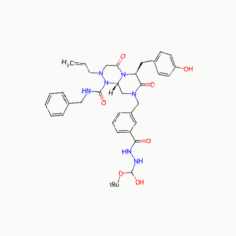 C=CCN1CC(=O)N2[C@@H](Cc3ccc(O)cc3)C(=O)N(Cc3cccc(C(=O)NNC(O)OC(C)(C)C)c3)C[C@@H]2N1C(=O)NCc1ccccc1